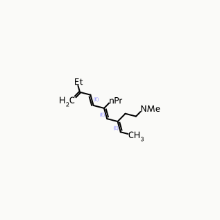 C=C(/C=C/C(=C/C(=C/C)CCNC)CCC)CC